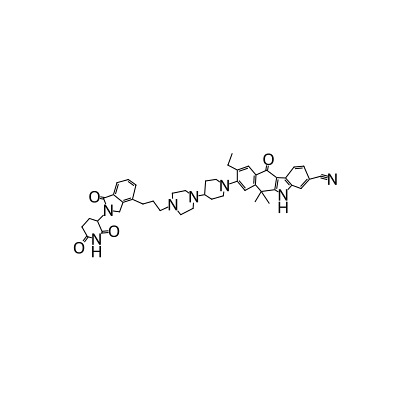 CCc1cc2c(cc1N1CCC(N3CCN(CCCc4cccc5c4CN(C4CCC(=O)NC4=O)C5=O)CC3)CC1)C(C)(C)c1[nH]c3cc(C#N)ccc3c1C2=O